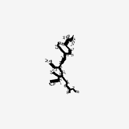 C=CC(=C)C(=C\C=C(\C)C=C)/C=C(/C#CC(/C=C\C=C/C)=C/C)C=C